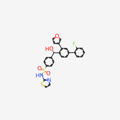 O=S(=O)(Nc1nccs1)c1ccc(C(O)c2ccc(-c3ccccc3F)cc2-c2ccoc2)cc1